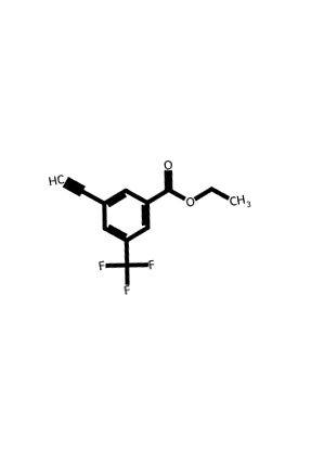 C#Cc1cc(C(=O)OCC)cc(C(F)(F)F)c1